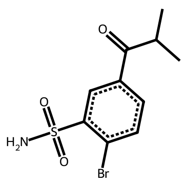 CC(C)C(=O)c1ccc(Br)c(S(N)(=O)=O)c1